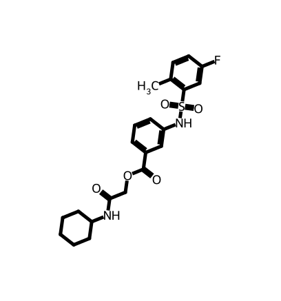 Cc1ccc(F)cc1S(=O)(=O)Nc1cccc(C(=O)OCC(=O)NC2CCCCC2)c1